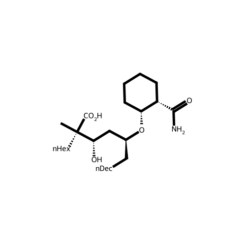 CCCCCCCCCCC[C@@H](C[C@H](O)[C@](C)(CCCCCC)C(=O)O)O[C@@H]1CCCC[C@@H]1C(N)=O